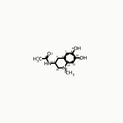 CC(=O)NC1Cc2cc(O)c(O)cc2N(C)C1